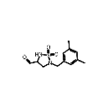 Cc1cc(C)cc(CN2CC(C=O)NS2(=O)=O)c1